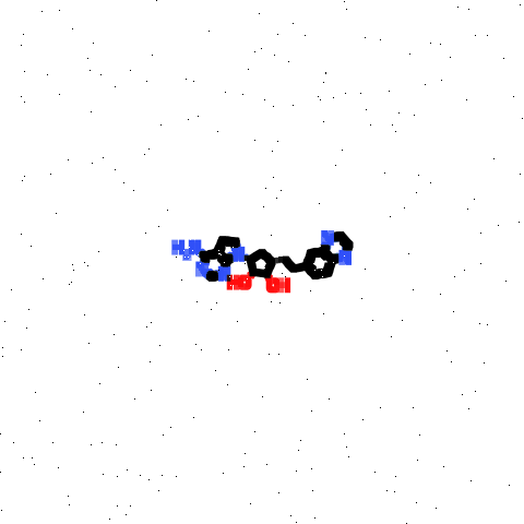 Nc1ncnc2c1ccn2[C@@H]1C[C@H](CCc2ccc3nccnc3c2)[C@@H](O)[C@H]1O